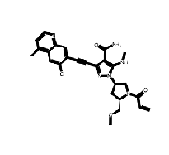 C=CC(=O)N1CC(n2nc(C#Cc3cc4nccc(C)c4cc3Cl)c(C(N)=O)c2NC)C[C@@H]1COC